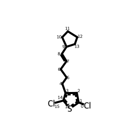 Clc1cc(CCC/C=C/C2CCCC2)c(Cl)s1